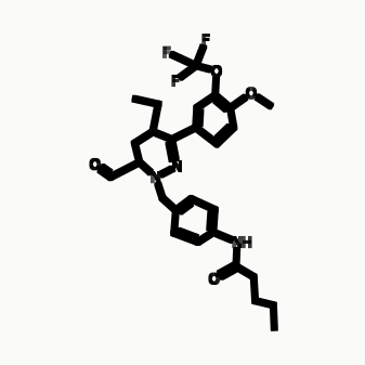 CCCCC(=O)Nc1ccc(CN2N=C(c3ccc(OC)c(OC(F)(F)F)c3)C(CC)CC2C=O)cc1